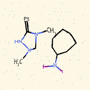 CN1CN(C)[C](=[Pt])N1.IN(I)C1CCCCCC1